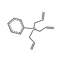 C=CC[Si](CC=C)(CC=C)c1ccccc1